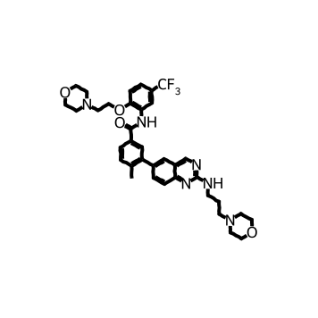 Cc1ccc(C(=O)Nc2cc(C(F)(F)F)ccc2OCCN2CCOCC2)cc1-c1ccc2nc(NCCCN3CCOCC3)ncc2c1